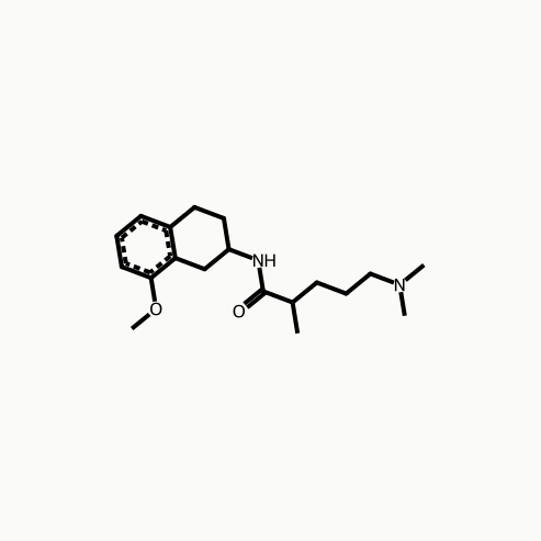 COc1cccc2c1CC(NC(=O)C(C)CCCN(C)C)CC2